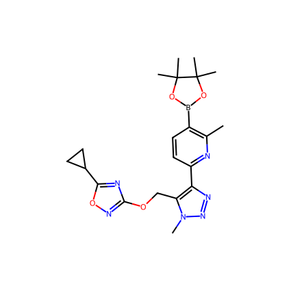 Cc1nc(-c2nnn(C)c2COc2noc(C3CC3)n2)ccc1B1OC(C)(C)C(C)(C)O1